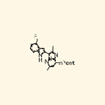 CCCCCc1cc(C)nn2c(-c3cc4c(CF)cccc4[nH]3)c(C)nc12